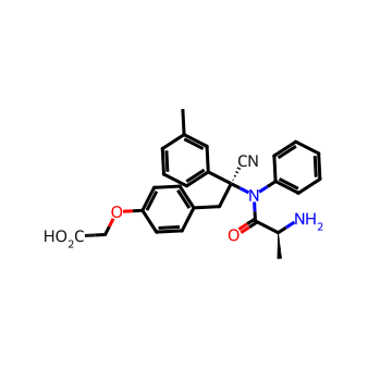 Cc1cccc([C@](C#N)(Cc2ccc(OCC(=O)O)cc2)N(C(=O)[C@H](C)N)c2ccccc2)c1